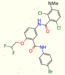 CNc1ccc(Cl)c(C(=O)Nc2ccc(OCC(F)F)c(C(=O)Nc3ccc(Br)cc3)c2)c1Cl